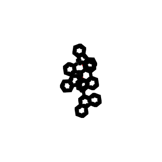 c1ccc(N(c2ccc(-c3cc4ccccc4c4ccccc34)cc2)c2ccccc2-n2c3ccccc3c3ccccc32)c(-c2cccc3oc4c5ccccc5ccc4c23)c1